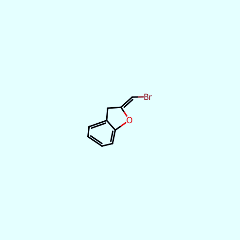 BrC=C1Cc2ccccc2O1